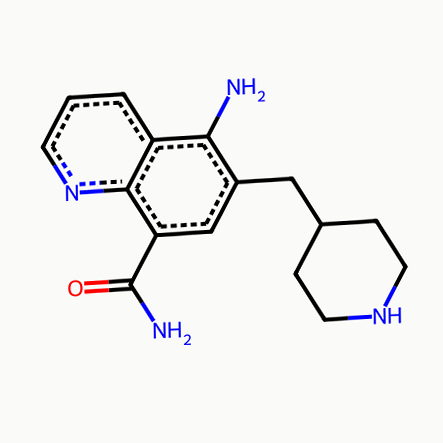 NC(=O)c1cc(CC2CCNCC2)c(N)c2cccnc12